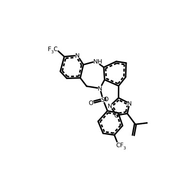 C=C(C)c1nc(-c2cccc3c2N(S(=O)(=O)c2ccc(C(F)(F)F)cc2)Cc2ccc(C(F)(F)F)nc2N3)no1